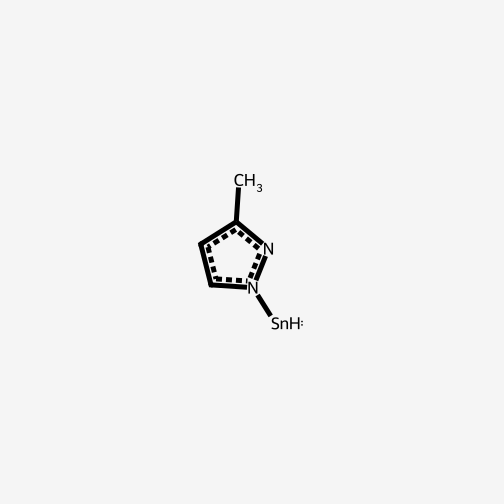 Cc1cc[n]([SnH])n1